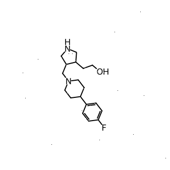 OCCC1CNCC1CN1CCC(c2ccc(F)cc2)CC1